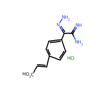 Cl.N=C(N)C(=NN)c1ccc(C=CC(=O)O)cc1